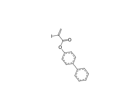 C=C(I)C(=O)Oc1ccc(-c2ccccc2)cc1